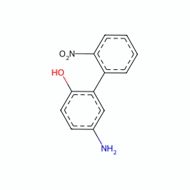 Nc1ccc(O)c(-c2ccccc2[N+](=O)[O-])c1